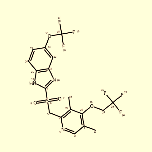 Cc1cnc(CS(=O)(=O)c2nc3cc(OC(F)(F)F)ccc3[nH]2)c(C)c1OCC(F)(F)F